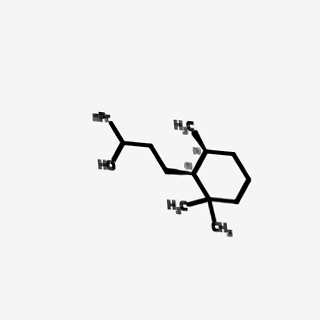 CCCC(O)CC[C@H]1[C@@H](C)CCCC1(C)C